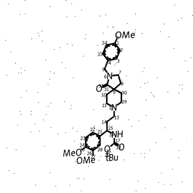 COc1ccc(CN2CCC3(CCN(CCC(NC(=O)OC(C)(C)C)c4ccc(OC)c(OC)c4)CC3)C2=O)cc1